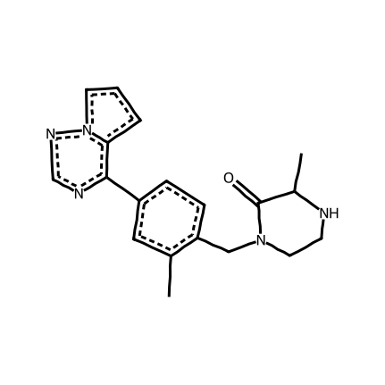 Cc1cc(-c2ncnn3cccc23)ccc1CN1CCNC(C)C1=O